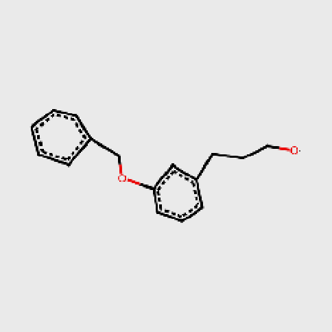 [O]CCCc1cccc(OCc2ccccc2)c1